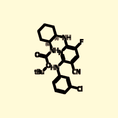 CC(C)(C)OC(=O)N[C@H]1CCCC[C@H]1Nc1nc(Nc2cccc(Cl)c2)c(C#N)cc1F